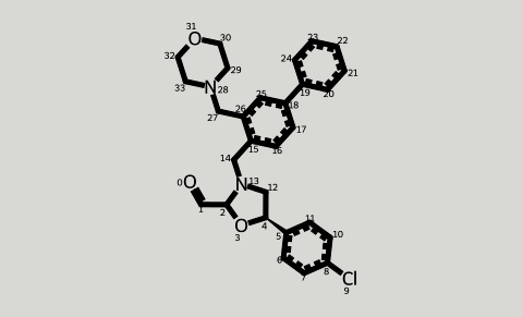 O=CC1O[C@H](c2ccc(Cl)cc2)CN1Cc1ccc(-c2ccccc2)cc1CN1CCOCC1